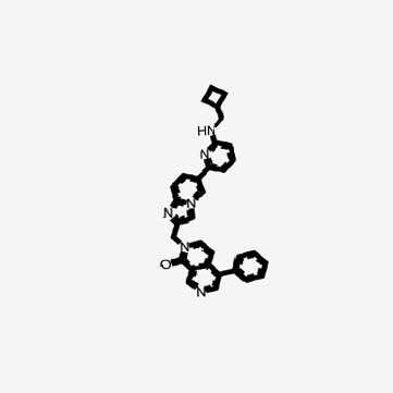 O=c1c2cncc(-c3ccccc3)c2ccn1Cc1cn2cc(-c3cccc(NCC4CCC4)n3)ccc2n1